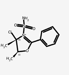 C[C@@H]1OC(c2ccccc2)=[N+](S(N)(=O)=O)[C@@]1(C)Cl